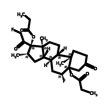 CCC(=O)O[C@]12CC(=O)CC[C@]1(C)[C@H]1CC[C@@]3(C)[C@@H](C[C@H](C)[C@@]3(OC(=O)CC)C(=O)CF)[C@@H]1C[C@H]2F